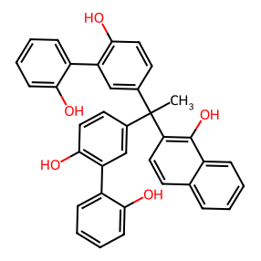 CC(c1ccc(O)c(-c2ccccc2O)c1)(c1ccc(O)c(-c2ccccc2O)c1)c1ccc2ccccc2c1O